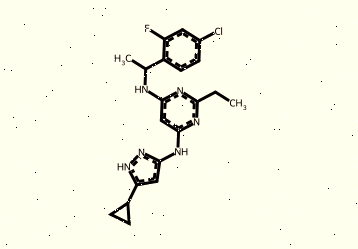 CCc1nc(Nc2cc(C3CC3)[nH]n2)cc(NC(C)c2ccc(Cl)cc2F)n1